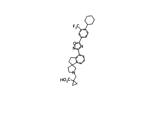 O=C(O)C1(CN2CCC3(CCc4c(-c5noc(-c6ccc(C7CCCCC7)c(C(F)(F)F)c6)n5)cccc43)C2)CC1